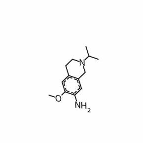 COc1cc2c(cc1N)CN(C(C)C)CC2